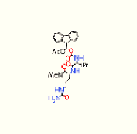 CNC(=O)[C@H](CCCNC(N)=O)NC(=O)[C@@H](NC(=O)OC(OC(C)=O)C1c2ccccc2-c2ccccc21)C(C)C